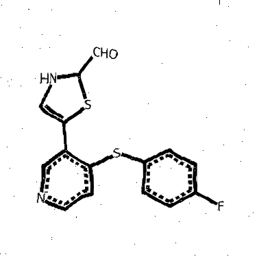 O=CC1NC=C(c2cnccc2Sc2ccc(F)cc2)S1